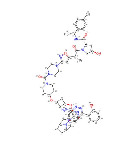 CC(C)[C@@H](C(=O)N1C[C@H](O)C[C@H]1C(=O)N[C@@H](C)c1ccc(C#N)cc1)c1cc(N2CCN(C(=O)N3CCC(O[C@H]4C[C@H](Oc5cc(N6C7CCC6CN(c6cc(-c8ccccc8O)nnc6N)C7)ccn5)C4)CC3)CC2)no1